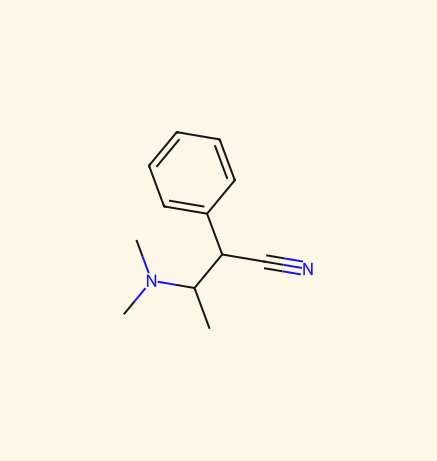 CC(C(C#N)c1ccccc1)N(C)C